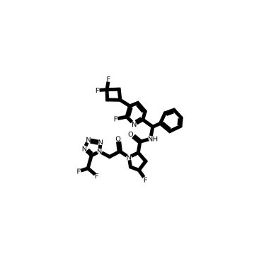 O=C(NC(c1ccccc1)c1ccc(C2CC(F)(F)C2)c(F)n1)C1CC(F)CN1C(=O)Cn1nnnc1C(F)F